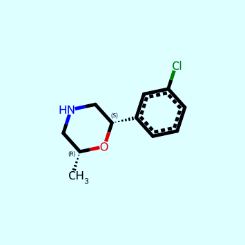 C[C@@H]1CNC[C@H](c2cccc(Cl)c2)O1